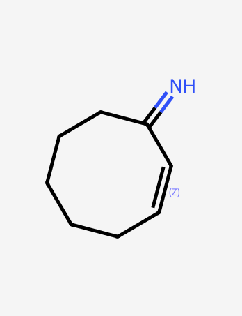 N=C1/C=C\CCCCC1